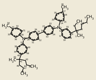 CCCCC(C)(CC)c1cccc(N(c2ccc(C)cc2)c2ccc(-c3ccc(N(c4ccc(C)cc4)c4ccc(C(C)(CCC)CCC)cc4)cc3)cc2)c1